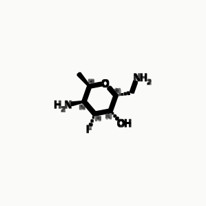 C[C@H]1O[C@H](CN)[C@H](O)[C@H](F)[C@H]1N